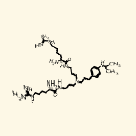 CC(C)Nc1ccc(CCCN(CCCNC(=O)[C@@H](N)CCCCNC(=N)N)CCCNC(=O)[C@@H](N)CCCCNC(=N)N)cc1